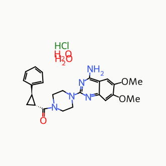 COc1cc2nc(N3CCN(C(=O)[C@@H]4C[C@H]4c4ccccc4)CC3)nc(N)c2cc1OC.Cl.O.O